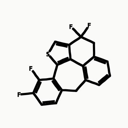 Fc1ccc2c(c1F)-c1scc3c1-c1c(cccc1CC3(F)F)C2